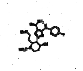 COCCC1[C@H](n2cc(C(N)=O)c(Nc3ccc(F)cc3)n2)[C@@H](C#N)CCN1C(=O)O